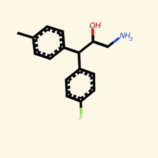 Cc1ccc(C(c2ccc(F)cc2)C(O)CN)cc1